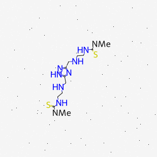 CNC(=S)NCCNCc1n[nH]c(CNCCNC(=S)NC)n1